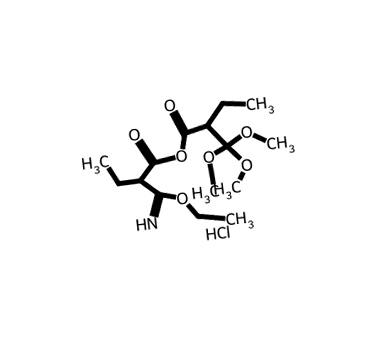 CCOC(=N)C(CC)C(=O)OC(=O)C(CC)C(OC)(OC)OC.Cl